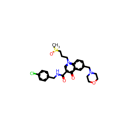 C[S+]([O-])CCCn1cc(C(=O)NCc2ccc(Cl)cc2)c(=O)c2cc(CN3CCOCC3)ccc21